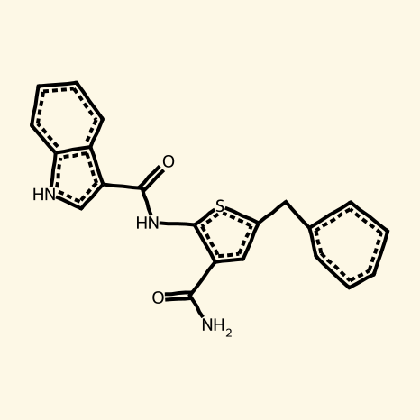 NC(=O)c1cc(Cc2ccccc2)sc1NC(=O)c1c[nH]c2ccccc12